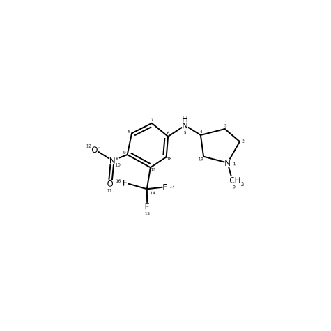 CN1CCC(Nc2ccc([N+](=O)[O-])c(C(F)(F)F)c2)C1